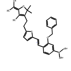 CCCCN(CCCC)c1ccc(/C=C/c2ccc(CCC3=C(C#N)C(=C(C#N)C#N)OC3(C)C)s2)c(OCc2ccccc2)c1